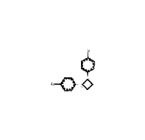 CC(=O)c1ccc([C@H]2CC[C@@H]2c2ccc(C(C)=O)cc2)cc1